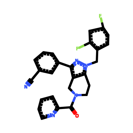 N#Cc1cccc(-c2nn(Cc3ccc(F)cc3F)c3c2CN(C(=O)c2ccccn2)CC3)c1